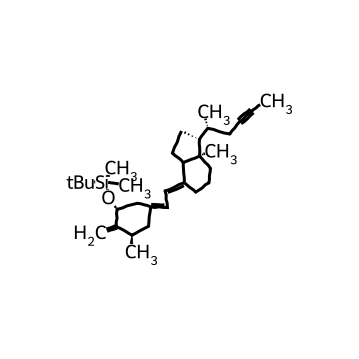 C=C1[C@H](C)C/C(=C/C=C2\CCC[C@@]3(C)C2CC[C@@H]3[C@H](C)CC#CC)C[C@H]1O[Si](C)(C)C(C)(C)C